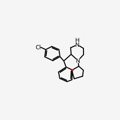 Clc1ccc(C(c2ccccc2)C2CNCCN2C2CCCC2)cc1